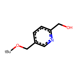 CC(C)(C)OCc1ccc(CO)nc1